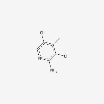 Nc1ncc(Cl)c(I)c1Cl